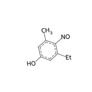 CCc1cc(O)cc(C)c1N=O